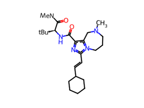 CNC(=O)[C@@H](NC(=O)c1nc(/C=C/C2CCCCC2)n2c1CN(C)CCC2)C(C)(C)C